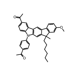 CCCCCCC1(C)c2cc(OC)ccc2-c2cc3c4cc(C(C)=O)ccc4n(-c4ccc(C(C)=O)cc4)c3cc21